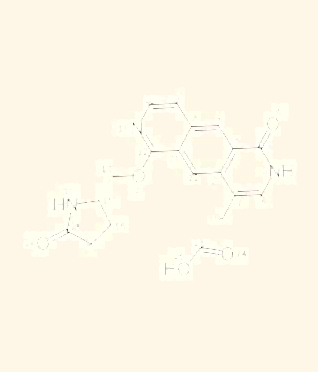 Cc1c[nH]c(=O)c2cc3ccnc(OC[C@@H]4CCC(=O)N4)c3cc12.O=CO